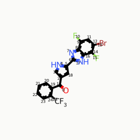 O=C(c1c[nH]c(-c2nc3c(F)cc(Br)c(F)c3[nH]2)c1)c1ccccc1C(F)(F)F